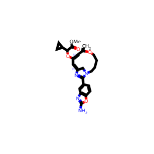 C=C1/C=C(OC(C(=O)OC)C2CC2)\C=C2/CN(CCCCO1)C(c1ccc3oc(N)nc3c1)=N2